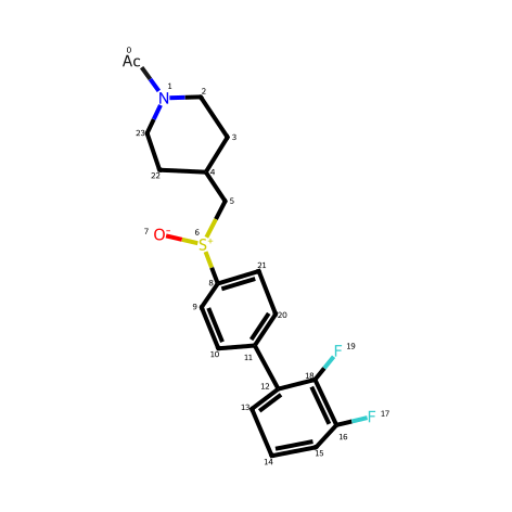 CC(=O)N1CCC(C[S+]([O-])c2ccc(-c3cccc(F)c3F)cc2)CC1